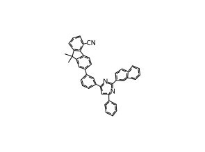 CC1(C)c2cc(-c3cccc(-c4cc(-c5ccccc5)nc(-c5ccc6ccccc6c5)n4)c3)ccc2-c2c(C#N)cccc21